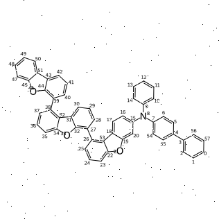 c1ccc(-c2ccc(N(c3ccccc3)c3ccc4c(c3)oc3cccc(-c5cccc6c5oc5cccc(-c7cccc8c7oc7ccccc78)c56)c34)cc2)cc1